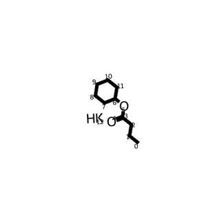 CCCC(=O)OC1CCCCC1.[KH]